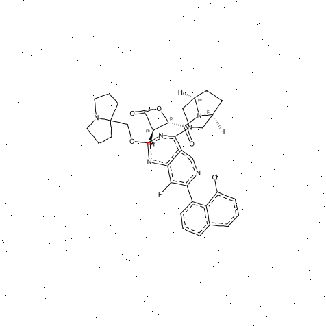 CC(C)[C@H]1C(=O)O[C@@H]1C(=O)N1[C@@H]2CC[C@H]1CN(c1nc(OCC34CCCN3CCC4)nc3c(F)c(-c4cccc5cccc(Cl)c45)ncc13)C2